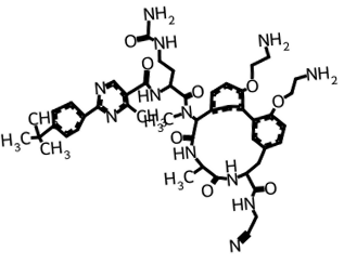 Cc1nc(-c2ccc(C(C)(C)C)cc2)ncc1C(=O)NC(CCNC(N)=O)C(=O)N(C)C1C(=O)NC(C)C(=O)NC(C(=O)NCC#N)Cc2ccc(OCCN)c(c2)-c2cc1ccc2OCCN